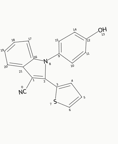 N#Cc1c(-c2cccs2)n(-c2ccc(O)cc2)c2ccccc12